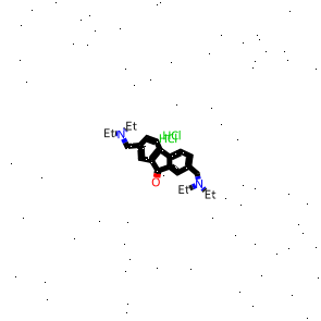 CCN(CC)Cc1ccc2c(c1)C(=O)c1cc(CN(CC)CC)ccc1-2.Cl.Cl